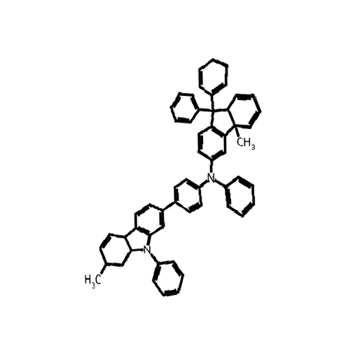 CC1C=CC2c3ccc(-c4ccc(N(c5ccccc5)c5ccc6c(c5)C5(C)C=CC=CC5C6(C5=CCCC=C5)c5ccccc5)cc4)cc3N(c3ccccc3)C2C1